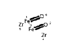 [O]=[Fe].[O]=[Fe].[Zr].[Zr]